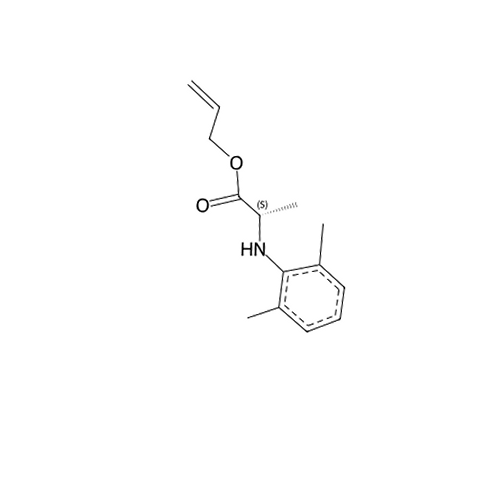 C=CCOC(=O)[C@H](C)Nc1c(C)cccc1C